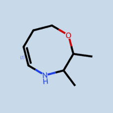 CC1N/C=C\CCOC1C